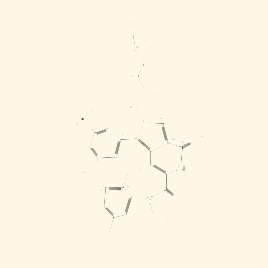 CNC(=O)c1cc2c(-c3cc(C(F)(F)F)ccc3Oc3ccc(F)cc3F)n(COCC[Si](C)(C)C)c(C)c2c(=O)[nH]1